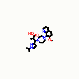 COc1ccc2cccnc2c1N1CCCN(C(c2ccn(C(C)C)n2)C(C)C(=O)O)CC1